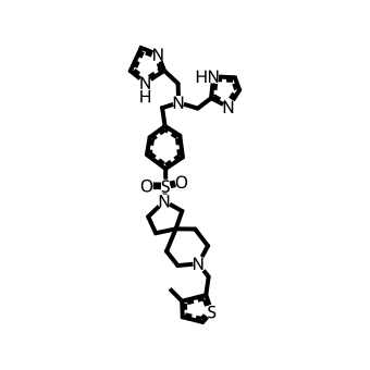 Cc1ccsc1CN1CCC2(CC1)CCN(S(=O)(=O)c1ccc(CN(Cc3ncc[nH]3)Cc3ncc[nH]3)cc1)C2